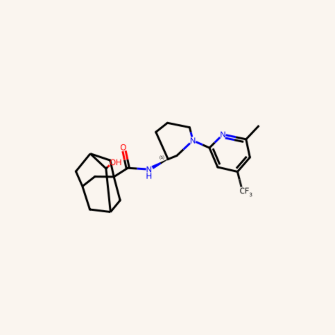 Cc1cc(C(F)(F)F)cc(N2CCC[C@H](NC(=O)C34CC5CC(C3)C(O)C(C5)C4)C2)n1